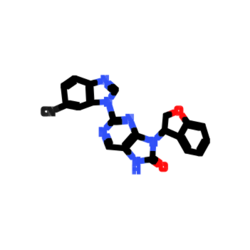 [C-]#[N+]c1ccc2ncn(-c3ncc4[nH]c(=O)n(C5COc6ccccc65)c4n3)c2c1